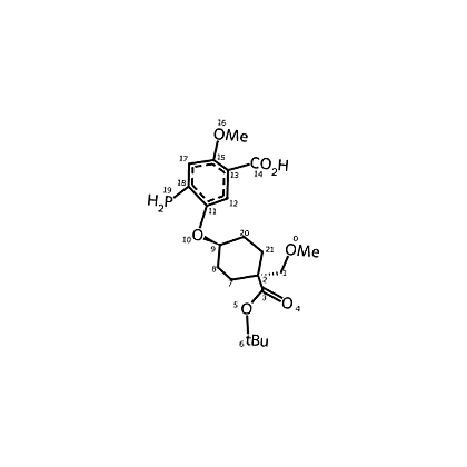 COC[C@]1(C(=O)OC(C)(C)C)CC[C@@H](Oc2cc(C(=O)O)c(OC)cc2P)CC1